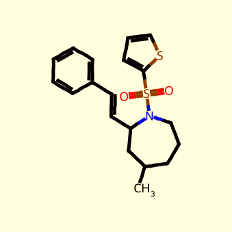 CC1CCCN(S(=O)(=O)c2cccs2)C(/C=C/c2ccccc2)C1